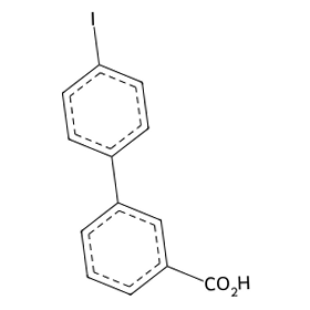 O=C(O)c1cccc(-c2ccc(I)cc2)c1